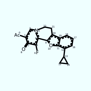 CC(=O)c1cn2c(c(F)c1=O)-c1oc3c(C4CC4)cccc3c1CC2